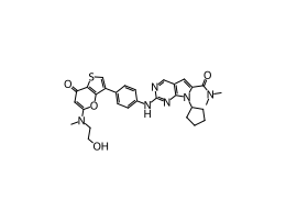 CN(C)C(=O)c1cc2cnc(Nc3ccc(-c4csc5c(=O)cc(N(C)CCO)oc45)cc3)nc2n1C1CCCC1